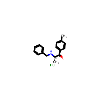 Cc1ccc(C(=O)[C@H](C)NCc2ccccc2)cc1.Cl